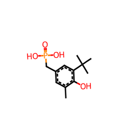 Cc1cc(CP(=O)(O)O)cc(C(C)(C)C)c1O